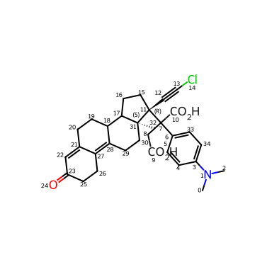 CN(C)c1ccc(C(CC(=O)O)(C(=O)O)[C@@]2(C#CCl)CCC3C4CCC5=CC(=O)CCC5=C4CC[C@@]32C)cc1